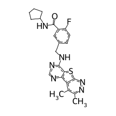 Cc1nnc2sc3c(NCc4ccc(F)c(C(=O)NC5CCCC5)c4)ncnc3c2c1C